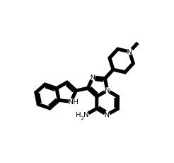 CN1CCC(c2nc(-c3cc4ccccc4[nH]3)c3c(N)nccn23)CC1